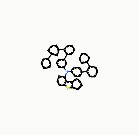 c1ccc(-c2cccc(-c3ccccc3-c3cccc(N(c4ccc(-c5ccccc5-c5ccccc5)cc4)c4cccc5sc6ccccc6c45)c3)c2)cc1